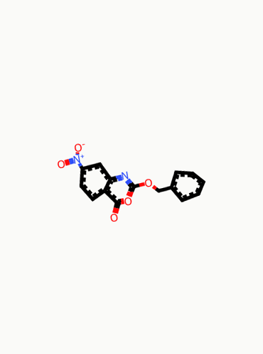 O=c1oc(OCc2ccccc2)nc2cc([N+](=O)[O-])ccc12